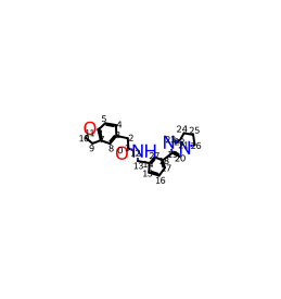 O=C(Cc1ccc2c(c1)CCO2)NCc1cccc(-c2cn3c(n2)CCC3)c1